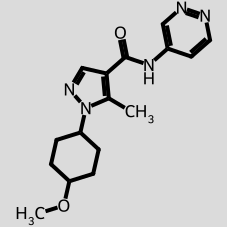 COC1CCC(n2ncc(C(=O)Nc3ccnnc3)c2C)CC1